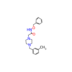 Cc1cccc(CN2CCN(CC(=O)NOCc3ccccc3)CC2)c1